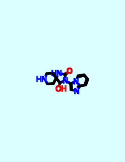 O=C1NC2(CCNCC2)C(O)N1c1cnc2ccccn12